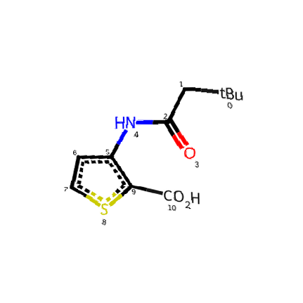 CC(C)(C)CC(=O)Nc1ccsc1C(=O)O